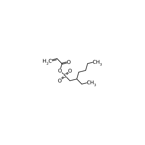 C=CC(=O)OS(=O)(=O)CC(CC)CCCC